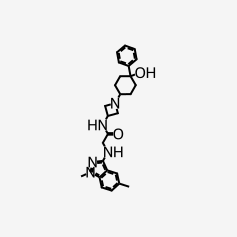 Cc1ccc2c(c1)c(NCC(=O)NC1CN(C3CCC(O)(c4ccccc4)CC3)C1)nn2C